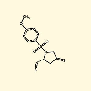 COc1ccc(S(=O)(=O)N2CC(=S)C[C@@H]2C=S)cc1